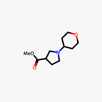 COC(=O)C1CCN(C2CCOCC2)C1